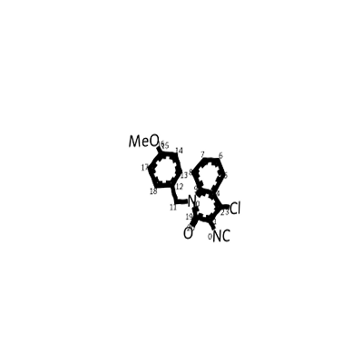 [C-]#[N+]c1c(Cl)c2ccccc2n(Cc2ccc(OC)cc2)c1=O